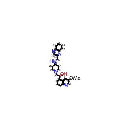 COc1cnc2cccc(C(O)CN3CCC(NCc4cnc5ccccc5n4)CC3)c2c1